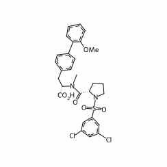 COc1ccccc1-c1ccc(C[C@@H](C(=O)O)N(C)C(=O)[C@@H]2CCCN2S(=O)(=O)c2cc(Cl)cc(Cl)c2)cc1